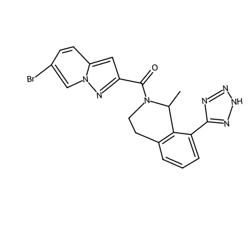 CC1c2c(cccc2-c2nn[nH]n2)CCN1C(=O)c1cc2ccc(Br)cn2n1